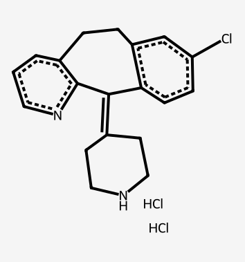 Cl.Cl.Clc1ccc2c(c1)CCc1cccnc1C2=C1CCNCC1